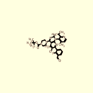 Cc1ccnc(C(C)C)c1-n1c(=O)nc(N2CCN(C(=O)OC(C)(C)C)C[C@@H]2C)c2cc(Cl)c(-c3cccc(C=O)c3F)nc21